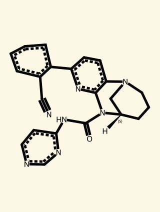 N#Cc1ccccc1-c1ccc2c(n1)N(C(=O)Nc1ccncn1)[C@H]1CCCN2C1